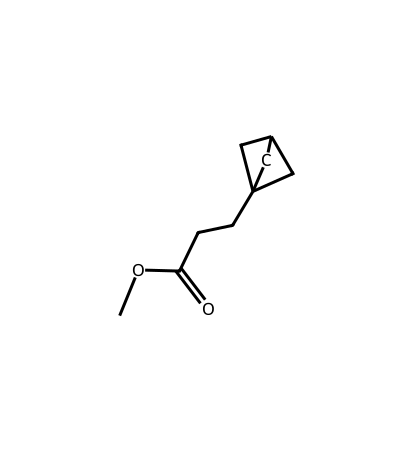 COC(=O)CCC12CC(C1)C2